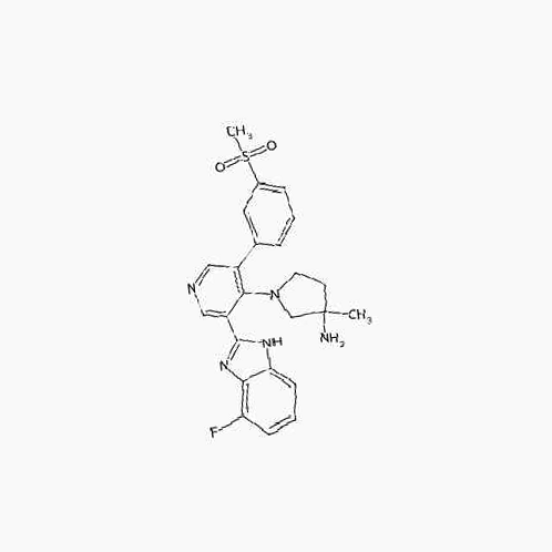 CC1(N)CCN(c2c(-c3cccc(S(C)(=O)=O)c3)cncc2-c2nc3c(F)cccc3[nH]2)C1